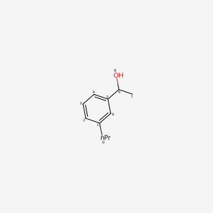 CCCc1cccc(C(C)O)c1